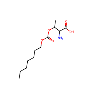 CCCCCCCOC(=O)OC(C)C(N)C(=O)O